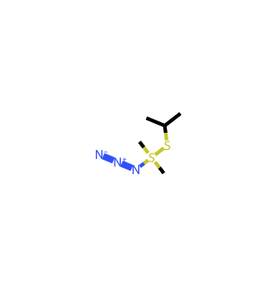 CC(C)SS(C)(C)N=[N+]=[N-]